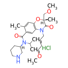 COCCCCN1C(=O)[C@@](C)(COC)Oc2cc(C)c(C(=O)N(C(C)C)[C@@H]3CCCNC3)cc21.Cl